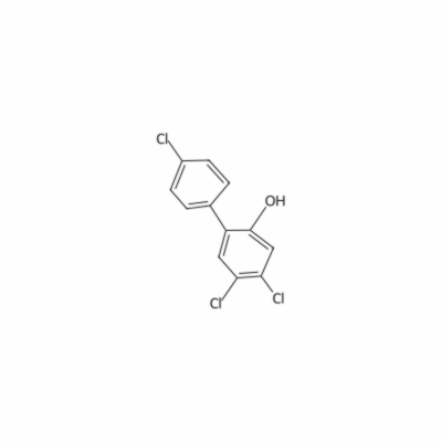 Oc1cc(Cl)c(Cl)cc1-c1ccc(Cl)cc1